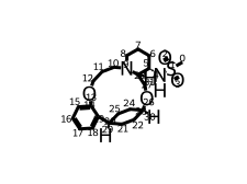 CS(=O)(=O)N[C@H]1CCCN2CCCOc3ccccc3[C@H]3CC[C@H](CC3)OC[C@@H]12